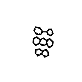 c1ccc(-c2ccccc2)cc1.c1ccc2cc3ccccc3cc2c1.c1ccc2ccccc2c1